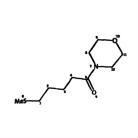 CSCCCCC(=O)N1CCOCC1